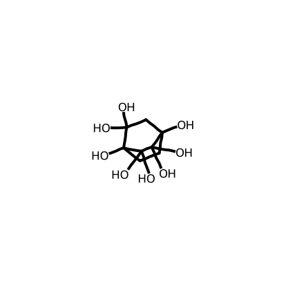 OC1(O)CC2(O)CCC1(O)C(O)(O)C2(O)O